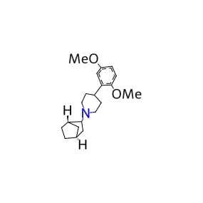 COc1ccc(OC)c(C2CCN(C3C[C@H]4CC[C@H]3C4)CC2)c1